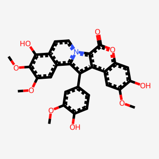 COc1cc(-c2c3c4cc(OC)c(O)cc4oc(=O)c3n3ccc4c(O)c(OC)c(OC)cc4c23)ccc1O